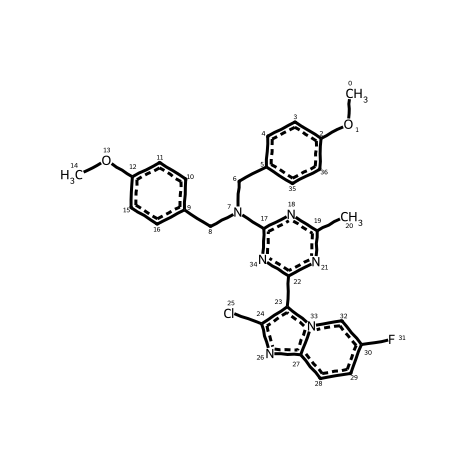 COc1ccc(CN(Cc2ccc(OC)cc2)c2nc(C)nc(-c3c(Cl)nc4ccc(F)cn34)n2)cc1